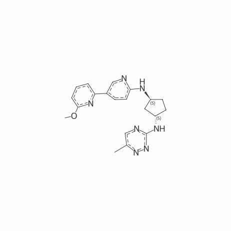 COc1cccc(-c2ccc(N[C@H]3CC[C@H](Nc4ncc(C)nn4)C3)nc2)n1